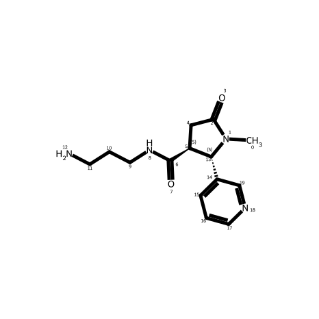 CN1C(=O)C[C@H](C(=O)NCCCN)[C@H]1c1cccnc1